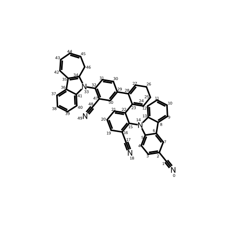 N#Cc1ccc2c(c1)c1ccccc1n2-c1c(C#N)cccc1C1=CCCC=C1c1ccc(-n2c3c(c4ccccc42)C=CC=CC3)c(C#N)c1